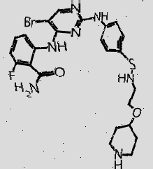 NC(=O)c1c(F)cccc1Nc1nc(Nc2ccc(SNCCOC3CCNCC3)cc2)ncc1Br